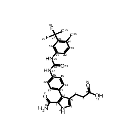 NC(=O)c1[nH]cc(CCC(=O)O)c1-c1ccc(NC(=O)Nc2ccc(F)c(C(F)(F)F)c2)cc1